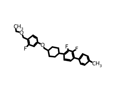 CCOCc1ccc(OCC2CCC(c3ccc(-c4ccc(C)cc4)c(F)c3F)CC2)cc1F